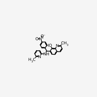 Cc1cccc(NC(c2ccc([N+](=O)[O-])cc2)c2ccc3ccc(C)nc3c2O)n1